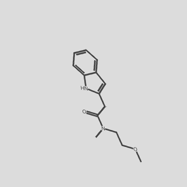 COCCN(C)C(=O)[CH]c1cc2ccccc2[nH]1